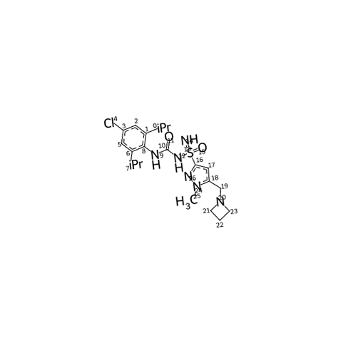 CC(C)c1cc(Cl)cc(C(C)C)c1NC(=O)NS(=N)(=O)c1cc(CN2CCC2)n(C)n1